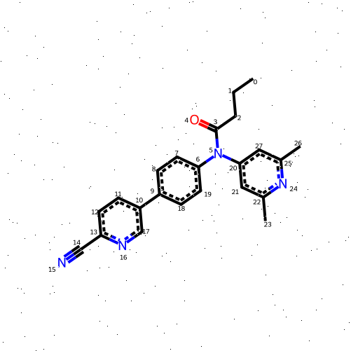 CCCC(=O)N(c1ccc(-c2ccc(C#N)nc2)cc1)c1cc(C)nc(C)c1